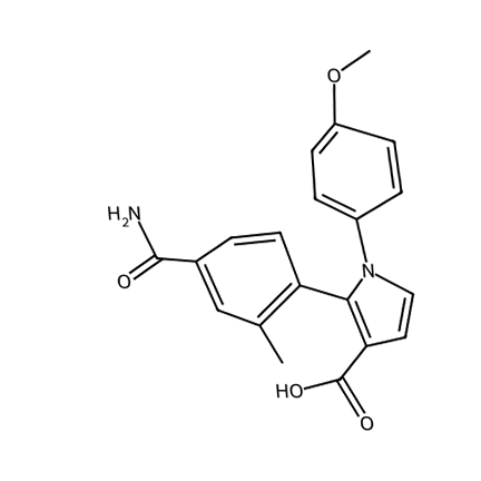 COc1ccc(-n2ccc(C(=O)O)c2-c2ccc(C(N)=O)cc2C)cc1